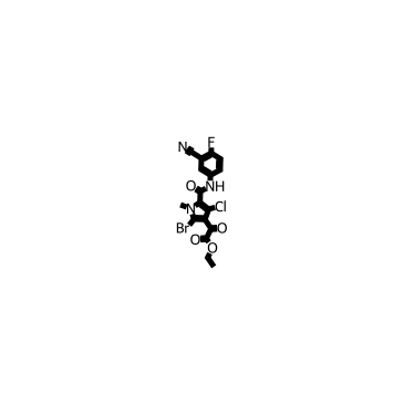 CCOC(=O)C(=O)c1c(Cl)c(C(=O)Nc2ccc(F)c(C#N)c2)n(C)c1Br